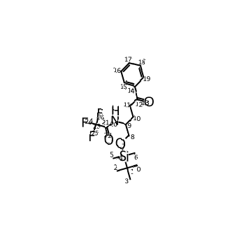 CC(C)(C)[Si](C)(C)OCC(CCC(=O)c1ccccc1)NC(=O)C(F)(F)F